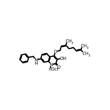 CCCCCCCCn1c(=O)c(O)c(OCC=C(C)CCC=C(C)C)c2ccc(NCc3ccccc3)cc21